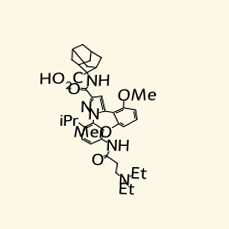 CCN(CC)CCC(=O)Nc1ccc(C(C)C)c(-n2nc(C(=O)NC3(C(=O)O)C4CC5CC(C4)CC3C5)cc2-c2c(OC)cccc2OC)c1